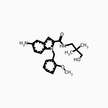 COc1ccccc1Cn1c(C(=O)NCC(C)(C)CO)cc2cc(N)ccc21